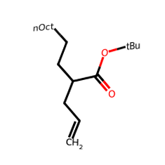 C=CCC(CCCCCCCCCC)C(=O)OC(C)(C)C